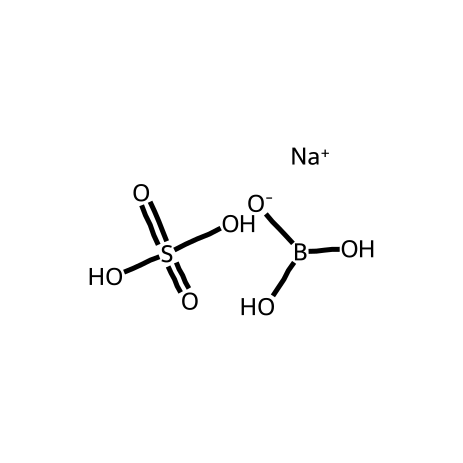 O=S(=O)(O)O.[Na+].[O-]B(O)O